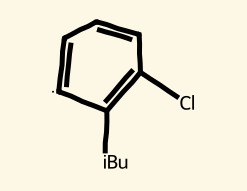 CCC(C)c1[c]cccc1Cl